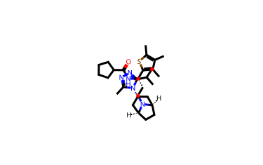 Cc1sc([C@H](CCN2[C@@H]3CC[C@H]2C[C@H](n2c(C)nnc2C(C)C)C3)NC(=O)C2CCCC2)c(C)c1C